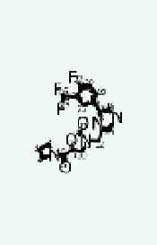 O=C1OC(C(=O)N2CCC2)CN1Cc1cncc(-c2ccc(F)c(C(F)F)c2)n1